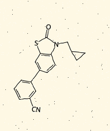 N#Cc1cccc(-c2ccc3c(c2)sc(=O)n3CC2CC2)c1